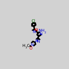 CC(=O)N1CCC(n2cc(-c3cnc(N)c(-c4ncc(-c5ccc(Cl)cc5)o4)c3)cn2)CC1